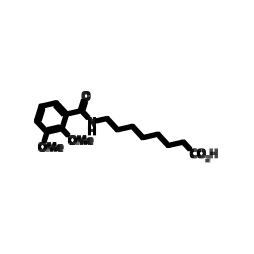 COc1cccc(C(=O)NCCCCCCCC(=O)O)c1OC